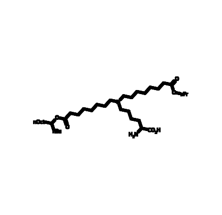 CCCCCCCCC(CCCC)OC(=O)CCCCCCCN(CCCCCCCC(=O)OCCC)CCCCC(N)C(=O)O